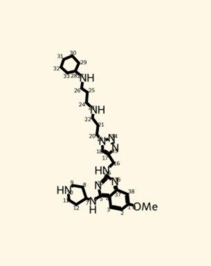 COc1ccc2c(NC3CCNCC3)nc(NCc3cn(CCCNCCCNC4CCCCC4)nn3)nc2c1